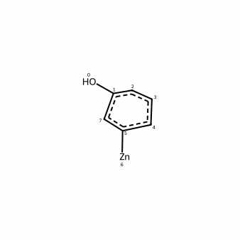 Oc1ccc[c]([Zn])c1